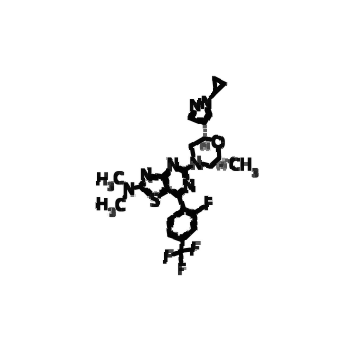 C[C@@H]1CN(c2nc(-c3ccc(C(F)(F)F)cc3F)c3sc(N(C)C)nc3n2)C[C@H](c2cnn(C3CC3)c2)O1